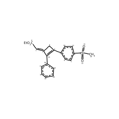 CCOC(=O)C=C1CC(c2ccc(S(C)(=O)=O)cc2)=C1c1ccccc1